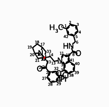 Cc1cccc(CNC(=O)c2cn(CCCN3C4CCC3CN(CC(=O)c3cccc(Cl)c3)C4)c3c(OC(C)C)cccc23)c1